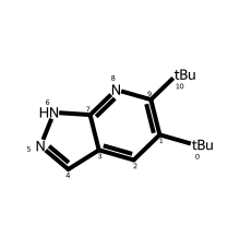 CC(C)(C)c1cc2cn[nH]c2nc1C(C)(C)C